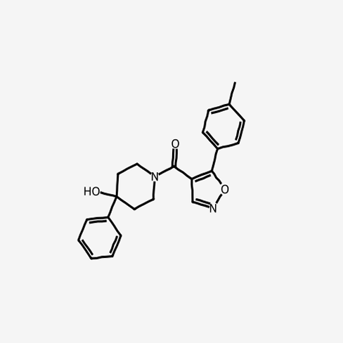 Cc1ccc(-c2oncc2C(=O)N2CCC(O)(c3ccccc3)CC2)cc1